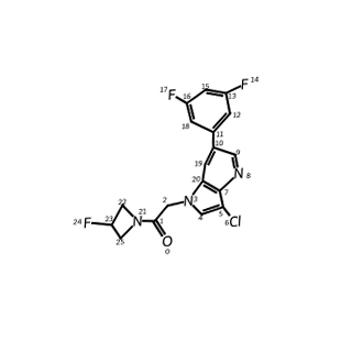 O=C(Cn1cc(Cl)c2ncc(-c3cc(F)cc(F)c3)cc21)N1CC(F)C1